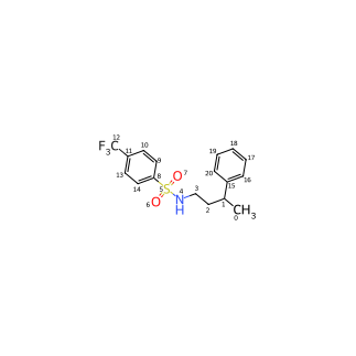 CC(CCNS(=O)(=O)c1ccc(C(F)(F)F)cc1)c1ccccc1